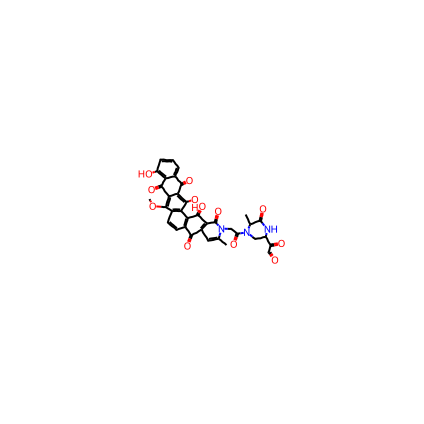 COc1c2ccc3c(=O)c4cc(C)n(CC(=O)N5CC(C(=O)C=O)NC(=O)C5C)c(=O)c4c(=O)c3c2c(O)c2c(=O)c3cccc(O)c3c(=O)c12